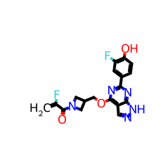 C=C(F)C(=O)N1CC(COc2nc(-c3ccc(O)c(F)c3)nc3[nH]ncc23)C1